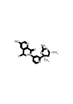 C[C@@H]1C[C@@](C)(c2cc(NC(=O)c3ncc(C#N)cc3C(F)F)ccn2)N=C(N)S1